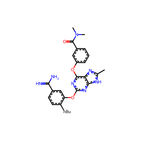 CCCCc1ccc(C(=N)N)cc1Oc1nc(Oc2cccc(C(=O)N(C)C)c2)c2nc(C)[nH]c2n1